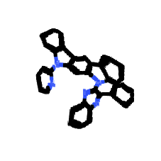 c1ccc(-c2nc3ccccc3nc2-n2c3ccccc3c3cc4c5ccccc5n(-c5ccccn5)c4cc32)cc1